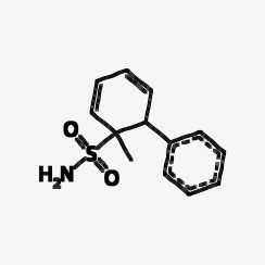 CC1(S(N)(=O)=O)C=CC=CC1c1ccccc1